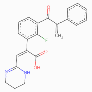 C=C(C(=O)c1cccc(C(=CC2=NCCCN2)C(=O)O)c1F)c1ccccc1